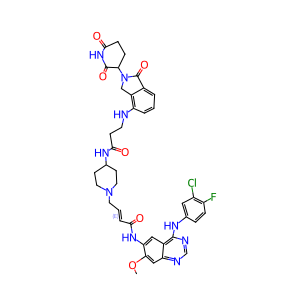 COc1cc2ncnc(Nc3ccc(F)c(Cl)c3)c2cc1NC(=O)/C=C/CN1CCC(NC(=O)CCNc2cccc3c2CN(C2CCC(=O)NC2=O)C3=O)CC1